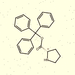 O=C(OC(c1ccccc1)(c1ccccc1)c1ccccc1)[C@@H]1CCCN1